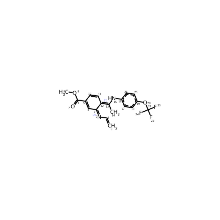 C=C/N=C1/C=C(C(=O)OC)C=C/C1=C(/C)Nc1ccc(OC(F)(F)F)cc1